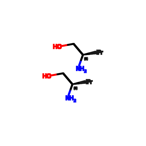 CC(C)[C@@H](N)CO.CC(C)[C@@H](N)CO